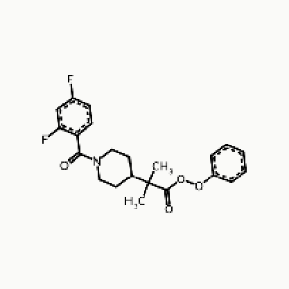 CC(C)(C(=O)OOc1ccccc1)C1CCN(C(=O)c2ccc(F)cc2F)CC1